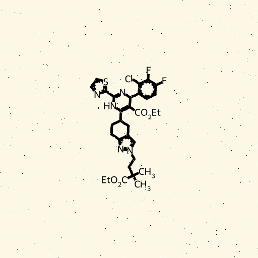 CCOC(=O)C1=C(C2CCc3nn(CCC(C)(C)C(=O)OCC)cc3C2)NC(c2nccs2)=NC1c1ccc(F)c(F)c1Cl